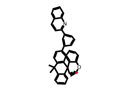 CC1(C)c2ccccc2C2(c3ccccc3Oc3ccccc32)c2cc(-c3cccc(-c4ccc5ccccc5n4)c3)ccc21